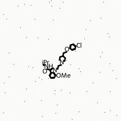 COc1cccc2c(C(=O)NCC(C)C)cn(CCCN3CCC(CCOc4ccc(Cl)cc4)CC3)c12